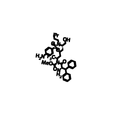 COC(=O)N(C(=O)[C@@H](N)C(c1ccccc1)c1ccccc1)[C@H](CCC[C@@H](CO)N(CCC(C)C)S(=O)(=O)c1ccc(N)cc1)C(F)(F)F